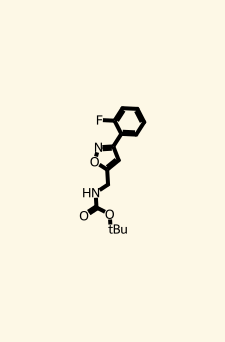 CC(C)(C)OC(=O)NCc1cc(-c2ccccc2F)no1